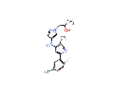 CC(O)Cn1ccc(Nc2cc(-c3cc(Cl)ccc3F)ncc2C(F)(F)F)c1